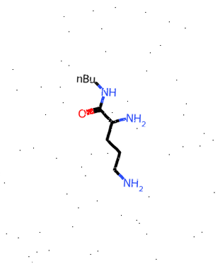 CCCCNC(=O)C(N)CCCN